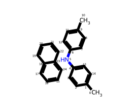 Cc1ccc(Nc2ccc(C)cc2)cc1.c1ccc2ccccc2c1